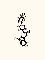 CCN(Cc1cn(CC)c2ccccc12)CC1CCN(c2ncc(C(=O)O)cn2)CC1